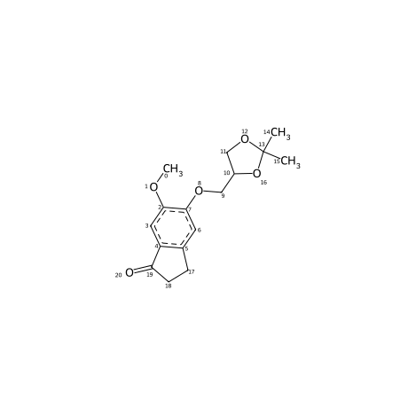 COc1cc2c(cc1OCC1COC(C)(C)O1)CCC2=O